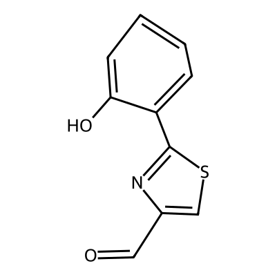 O=Cc1csc(-c2ccccc2O)n1